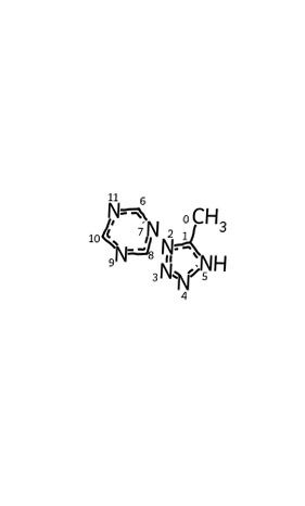 Cc1nnn[nH]1.c1ncncn1